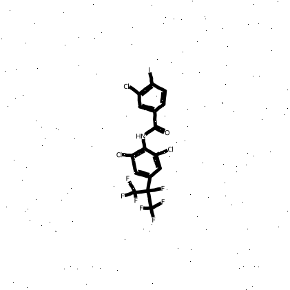 O=C(Nc1c(Cl)cc(C(F)(C(F)(F)F)C(F)(F)F)cc1Cl)c1ccc(I)c(Cl)c1